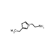 CCC1=C[N+](CCN)=CC1